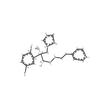 C[C@@H](SSCCc1ccncc1)[C@](O)(Cn1cncn1)c1cc(F)ccc1F